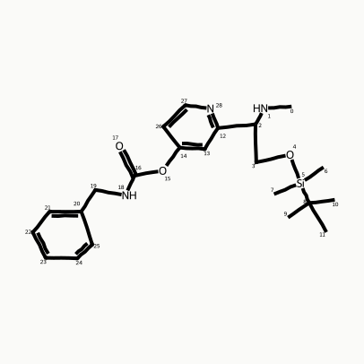 CNC(CO[Si](C)(C)C(C)(C)C)c1cc(OC(=O)NCc2ccccc2)ccn1